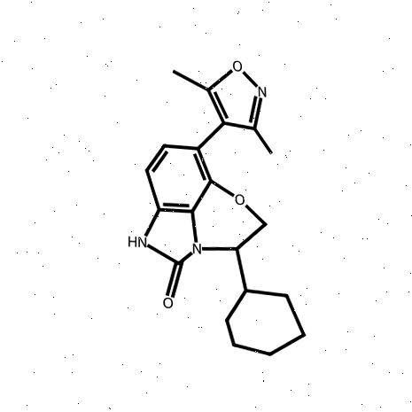 Cc1noc(C)c1-c1ccc2[nH]c(=O)n3c2c1OCC3C1CCCCC1